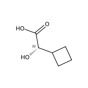 O=C(O)[C@@H](O)C1CCC1